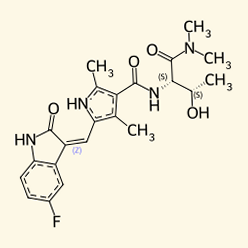 Cc1[nH]c(/C=C2\C(=O)Nc3ccc(F)cc32)c(C)c1C(=O)N[C@H](C(=O)N(C)C)[C@H](C)O